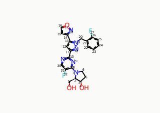 OC[C@@H]1[C@H](O)CCN1c1nc(-c2cc(-c3ccon3)n(Cc3ccccc3F)n2)ncc1F